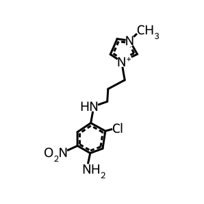 Cn1cc[n+](CCCNc2cc([N+](=O)[O-])c(N)cc2Cl)c1